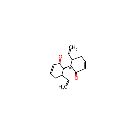 C=CC1CC=CC(=O)C1[C@@H]1C(=O)C=CCC1C=C